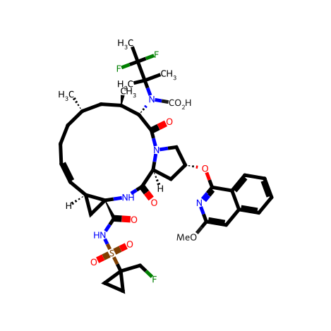 COc1cc2ccccc2c(O[C@@H]2C[C@H]3C(=O)N[C@]4(C(=O)NS(=O)(=O)C5(CF)CC5)C[C@H]4/C=C\CC[C@H](C)C[C@@H](C)[C@H](N(C(=O)O)C(C)(C)C(C)(F)F)C(=O)N3C2)n1